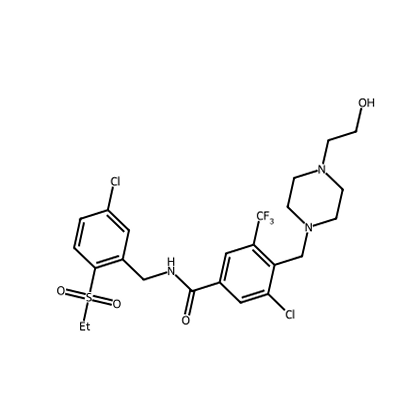 CCS(=O)(=O)c1ccc(Cl)cc1CNC(=O)c1cc(Cl)c(CN2CCN(CCO)CC2)c(C(F)(F)F)c1